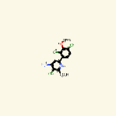 CNOc1c(Cl)ccc(-c2cc(N)c(Cl)c(C(=O)O)n2)c1Cl